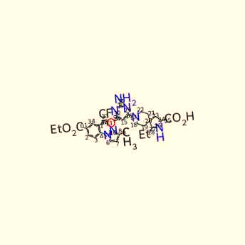 CCOC(=O)c1ccc(-n2ccc(C)n2)c([C@@H](Oc2cc(N3CCC4(CC3)CC(C(=O)O)NC4CC)nc(N)n2)C(F)(F)F)c1